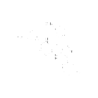 O=C(N[C@@H]1C(=O)Nc2c(cnn2-c2cccc(Br)c2)[C@H]1c1cccc([N+](=O)[O-])c1)c1cccc(C(F)(F)F)c1